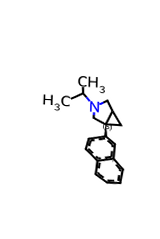 CC(C)N1CC2C[C@]2(c2ccc3ccccc3c2)C1